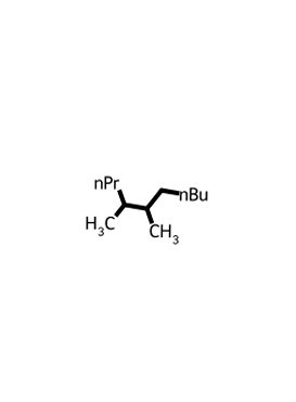 C[CH]CC(C)C(C)CCCCC